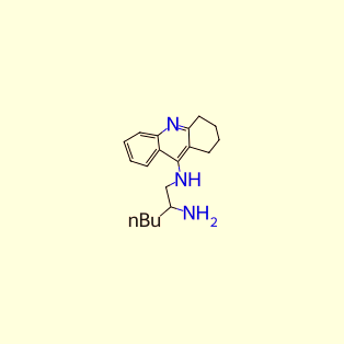 CCCCC(N)CNc1c2c(nc3ccccc13)CCCC2